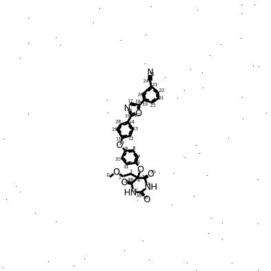 COCCC1(Oc2ccc(Oc3ccc(-c4ncc(-c5cccc(C#N)c5)o4)cc3)cc2)C(=O)NC(=O)NC1=O